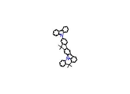 CC1(C)c2cc(-n3c4ccccc4c4ccccc43)ccc2-c2cc3c4cccc5c4n(c3cc21)-c1ccccc1C5(C)C